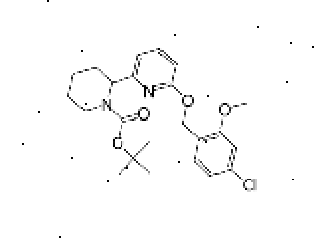 COc1cc(Cl)ccc1COc1cccc(C2CCCCN2C(=O)OC(C)(C)C)n1